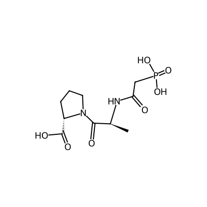 C[C@H](NC(=O)CP(=O)(O)O)C(=O)N1CCC[C@H]1C(=O)O